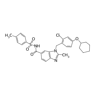 Cc1ccc(S(=O)(=O)NC(=O)c2ccc3nc(C)n(Cc4ccc(OC5CCCCC5)cc4Cl)c3c2)cc1